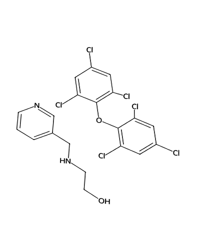 Clc1cc(Cl)c(Oc2c(Cl)cc(Cl)cc2Cl)c(Cl)c1.OCCNCc1cccnc1